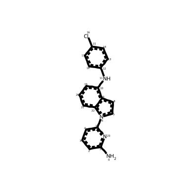 Nc1cccc(-n2ccc3c(Nc4ccc(Cl)cc4)cccc32)n1